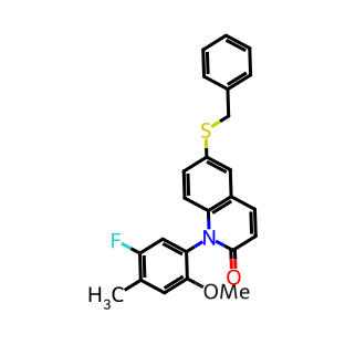 COc1cc(C)c(F)cc1-n1c(=O)ccc2cc(SCc3ccccc3)ccc21